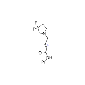 CC(C)NC(=O)/C=C/CN1CCC(F)(F)C1